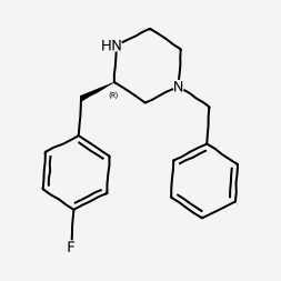 Fc1ccc(C[C@@H]2CN(Cc3ccccc3)CCN2)cc1